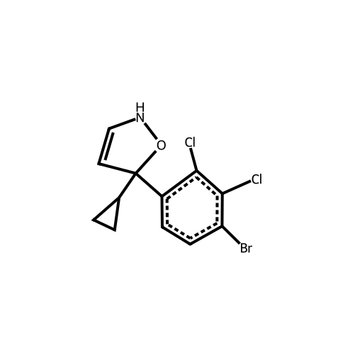 Clc1c(Br)ccc(C2(C3CC3)C=CNO2)c1Cl